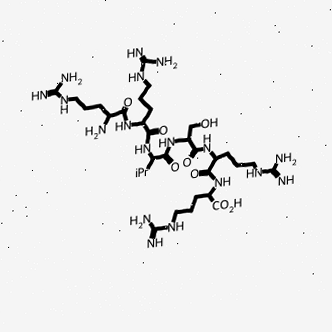 CC(C)C(NC(=O)C(CCCNC(=N)N)NC(=O)C(N)CCCNC(=N)N)C(=O)NC(CO)C(=O)NC(CCCNC(=N)N)C(=O)NC(CCCNC(=N)N)C(=O)O